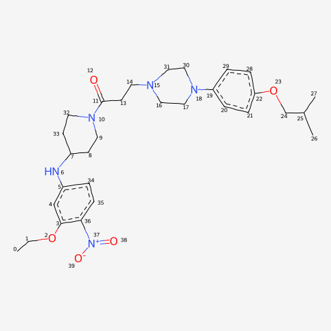 CCOc1cc(NC2CCN(C(=O)CCN3CCN(c4ccc(OCC(C)C)cc4)CC3)CC2)ccc1[N+](=O)[O-]